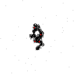 CCn1c(-c2cccnc2[C@H](C)OC)c2c3cc(ccc31)-c1cc(cc(C(F)F)c1)C[C@H](NC(=O)[C@H](C(C)C)N(C)C(=O)C1CCN(C(=O)C#CC(C)(C)N3CCC3)C1)C(=O)N1CCC[C@H](N1)C(=O)OCC(C)(C)C2